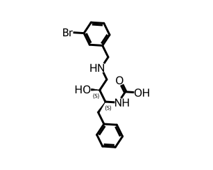 O=C(O)N[C@@H](Cc1ccccc1)[C@@H](O)CNCc1cccc(Br)c1